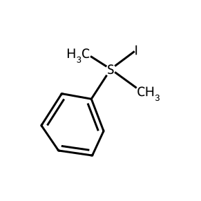 CS(C)(I)c1ccccc1